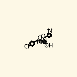 CN(C)c1cccc(C(=O)N2C[C@H](O)C[C@H]2C(=O)NCc2ccc(Cl)cc2)c1